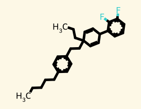 CCCCCc1ccc(CCC2(CCC)C=CC(c3cccc(F)c3F)C=C2)cc1